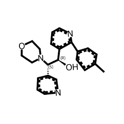 Cc1ccc(-c2ncccc2[C@@H](O)[C@H](c2cccnc2)N2CCOCC2)cc1